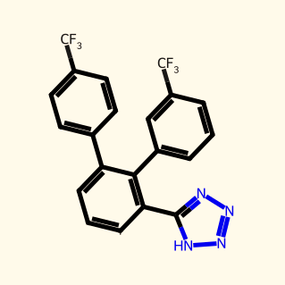 FC(F)(F)c1ccc(-c2cc[c]c(-c3nnn[nH]3)c2-c2cccc(C(F)(F)F)c2)cc1